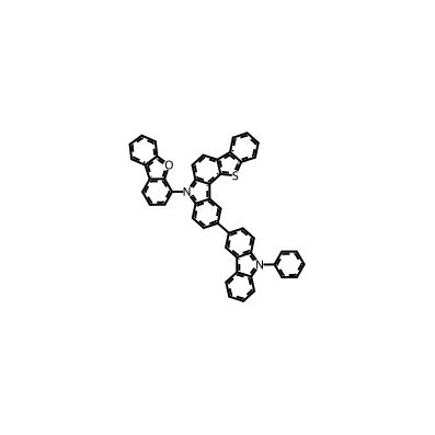 c1ccc(-n2c3ccccc3c3cc(-c4ccc5c(c4)c4c6sc7ccccc7c6ccc4n5-c4cccc5c4oc4ccccc45)ccc32)cc1